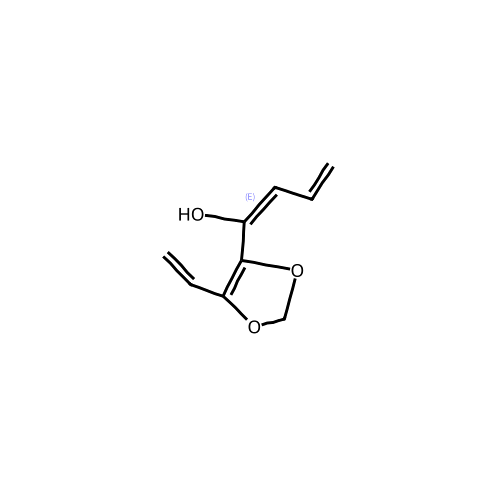 C=C/C=C(/O)C1=C(C=C)OCO1